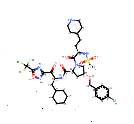 CS(=O)(=O)N[C@H](CCC1CCNCC1)C(=O)N1C[C@H](OCc2ccc(Cl)cc2)C[C@H]1C(=O)N[C@@H](CC1CCCCC1)C(=O)c1noc(C(F)(F)F)n1